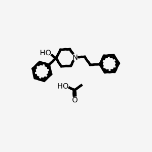 CC(=O)O.OC1(c2ccccc2)CCN(CCc2ccccc2)CC1